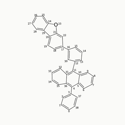 c1ccc(-c2c3ccccc3c(-c3cccc(-c4ccc5c(c4)oc4ccccc45)c3)c3ccccc23)cc1